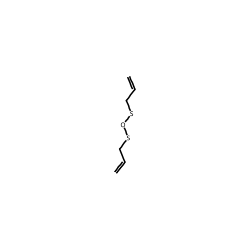 C=CCSOSCC=C